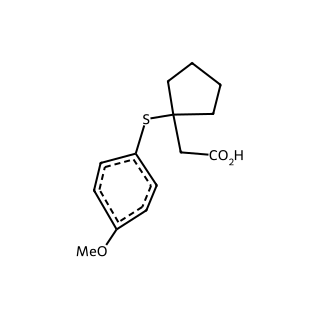 COc1ccc(SC2(CC(=O)O)CCCC2)cc1